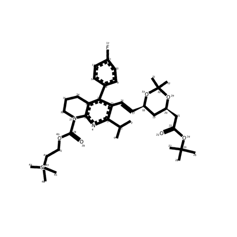 CC(C)c1nc2c(c(-c3ccc(F)cc3)c1C=C[C@@H]1C[C@H](CC(=O)OC(C)(C)C)OC(C)(C)O1)CCCN2C(=O)OCC[Si](C)(C)C